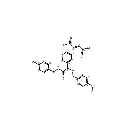 COc1ccc(CNC(C(=O)NCc2ccc(Cl)cc2)c2ccccc2)cc1.O=C(O)C=CC(=O)O